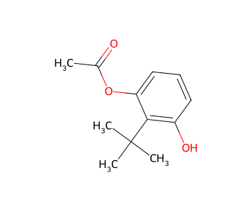 CC(=O)Oc1cccc(O)c1C(C)(C)C